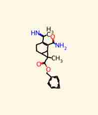 CC(=N)C1=C(C(N)=O)C2C(CC1)C2(C)C(=O)OCc1ccccc1